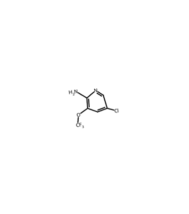 Nc1ncc(Cl)cc1OC(F)(F)F